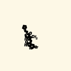 Cc1c(C=C2C(=O)Nc3ncc(Br)cc32)[nH]c2c1C(=O)N(CCN1CCCC1)CC2